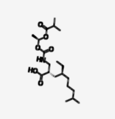 CC[C@@H](CCCC(C)C)C[C@@H](CNC(=O)O[C@@H](C)OC(=O)C(C)C)C(=O)O